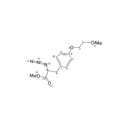 COCCOc1ccc(CC(N=[N+]=[N-])C(=O)OC)cc1